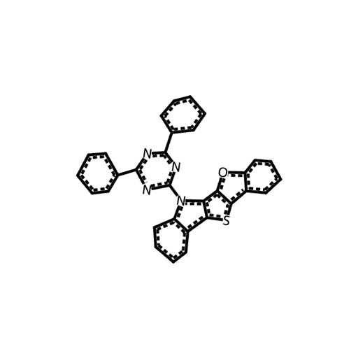 c1ccc(-c2nc(-c3ccccc3)nc(-n3c4ccccc4c4sc5c6ccccc6oc5c43)n2)cc1